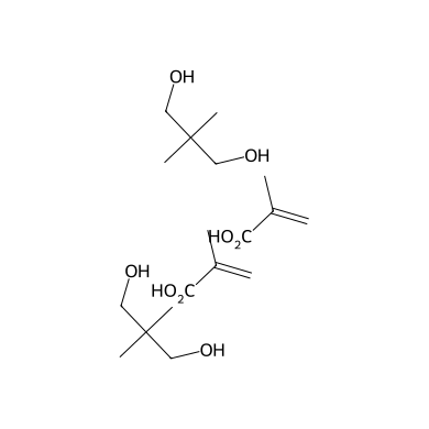 C=C(C)C(=O)O.C=C(C)C(=O)O.CC(C)(CO)CO.CC(C)(CO)CO